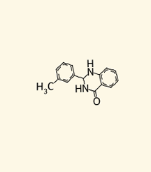 Cc1cccc(C2NC(=O)c3ccccc3N2)c1